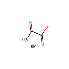 CC(=O)C(=O)[O-].[Rb+]